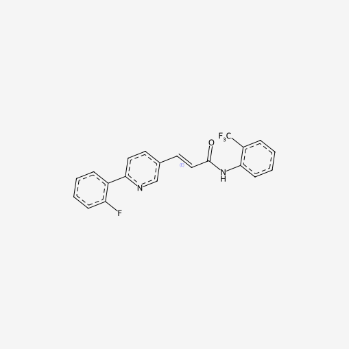 O=C(/C=C/c1ccc(-c2ccccc2F)nc1)Nc1ccccc1C(F)(F)F